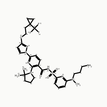 CN(CCCN)c1cccc(S(=O)(=O)NC(=O)c2ccc(-n3ccc(OCCC4(C(F)(F)F)CC4)n3)nc2N2CCCC2(C)C)n1